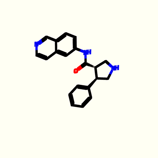 O=C(Nc1ccc2cnccc2c1)[C@@H]1CNC[C@H]1c1ccccc1